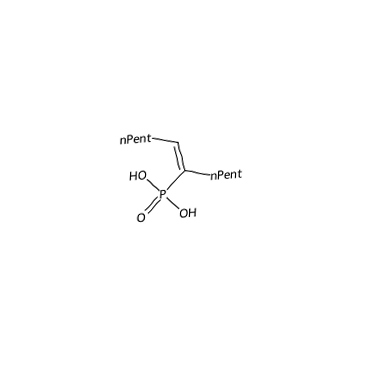 CCCCCC=C(CCCCC)P(=O)(O)O